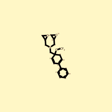 FC(F)(F)OC1(CN(CC2CO2)CC2CO2)C=CC(c2ccccc2)=CC1